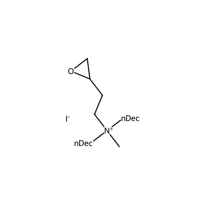 CCCCCCCCCC[N+](C)(CCCCCCCCCC)CCC1CO1.[I-]